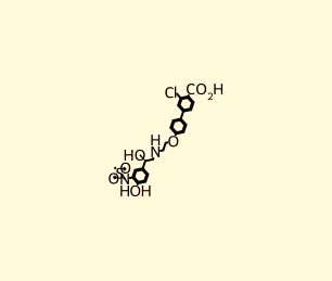 CS(=O)(=O)Nc1cc([C@@H](O)CNCCOc2ccc(-c3ccc(C(=O)O)c(Cl)c3)cc2)ccc1O